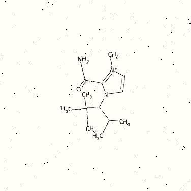 CC(C)C(n1cc[n+](C)c1C(N)=O)C(C)(C)C